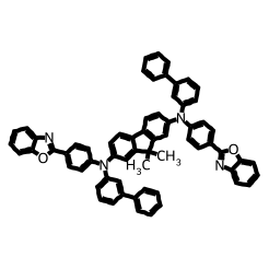 CC1(C)c2cc(N(c3ccc(-c4nc5ccccc5o4)cc3)c3cccc(-c4ccccc4)c3)ccc2-c2ccc(N(c3ccc(-c4nc5ccccc5o4)cc3)c3cccc(-c4ccccc4)c3)cc21